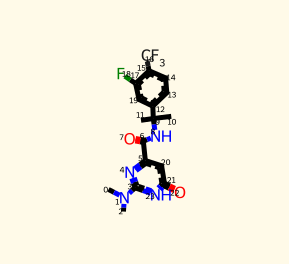 CN(C)c1nc(C(=O)NC(C)(C)c2ccc(C(F)(F)F)c(F)c2)cc(=O)[nH]1